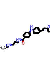 CCNCCCNC(=O)c1ccc(Nc2ccc(/C=C/c3ccccn3)cc2)cc1